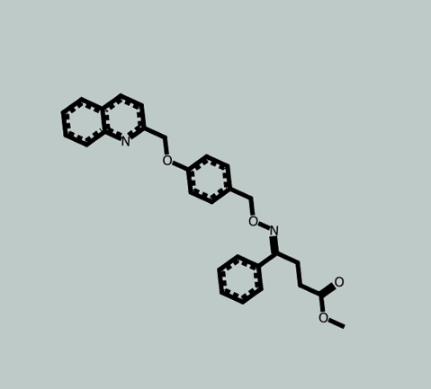 COC(=O)CCC(=NOCc1ccc(OCc2ccc3ccccc3n2)cc1)c1ccccc1